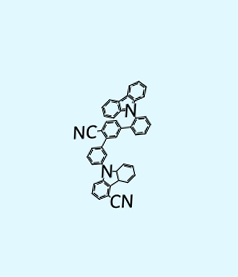 N#Cc1ccc(-c2ccccc2-n2c3ccccc3c3ccccc32)cc1-c1cccc(N2c3cccc(C#N)c3C3C=CC=CC32)c1